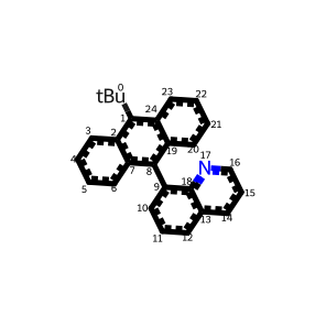 CC(C)(C)c1c2ccccc2c(-c2cccc3cccnc23)c2ccccc12